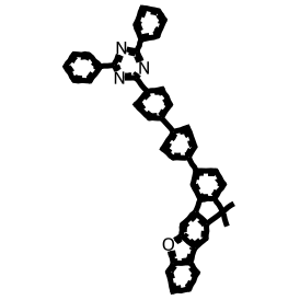 CC1(C)c2ccc(-c3ccc(-c4ccc(-c5nc(-c6ccccc6)nc(-c6ccccc6)n5)cc4)cc3)cc2-c2cc3oc4ccccc4c3cc21